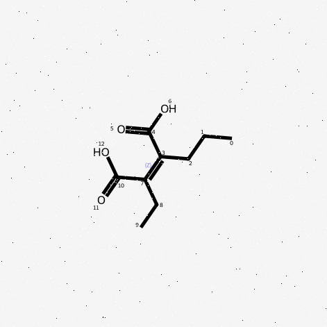 CCC/C(C(=O)O)=C(\CC)C(=O)O